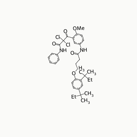 CCC(C)(C)c1ccc(OCCCC(=O)Nc2ccc(OC)c(C(=O)C(Cl)(Cl)C(=O)Nc3ccccc3)c2)c(C(C)(C)CC)c1